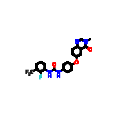 Cn1cnc2ccc(Oc3ccc(NC(=O)Nc4cccc(C(F)(F)F)c4F)cc3)cc2c1=O